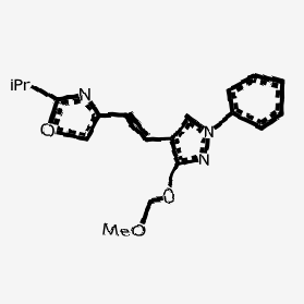 COCOc1nn(-c2ccccc2)cc1/C=C/c1coc(C(C)C)n1